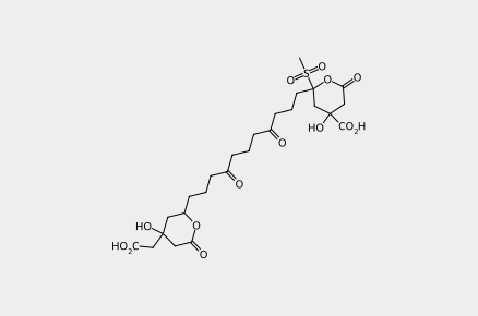 CS(=O)(=O)C1(CCCC(=O)CCCC(=O)CCCC2CC(O)(CC(=O)O)CC(=O)O2)CC(O)(C(=O)O)CC(=O)O1